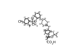 COC1(Cn2c(/C=C/C(=O)O)cnc2CN2CCC(c3cccc4c3OC(C)(c3ccc(Cl)cc3F)O4)CC2)CC1